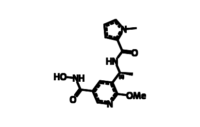 COc1ncc(C(=O)NO)cc1[C@H](C)NC(=O)c1cccn1C